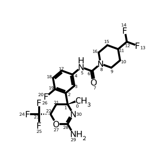 C[C@]1(c2cc(NC(=O)N3CCC(C(F)F)CC3)ccc2F)C[C@@H](C(F)(F)F)OC(N)=N1